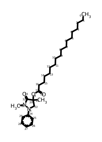 CCCCCCCCCCCCCCCCCC(=O)OC1(C)CN(c2ccccc2)N(C)C1=O